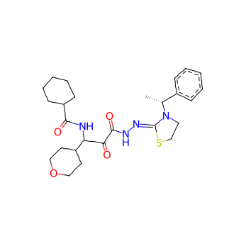 C[C@H](c1ccccc1)N1CCS/C1=N\NC(=O)C(=O)C(NC(=O)C1CCCCC1)C1CCOCC1